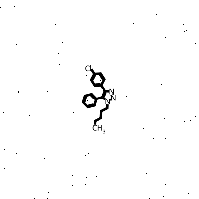 CCCCCn1nnc(-c2ccc(Cl)cc2)c1-c1ccccc1